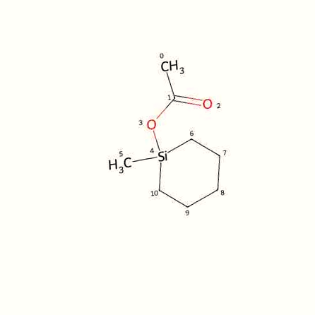 CC(=O)O[Si]1(C)CCCCC1